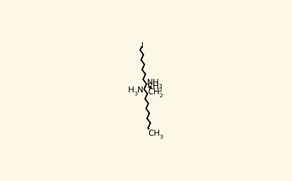 C=C.CCCCCCCCCCCCCCCCCCI.N.N